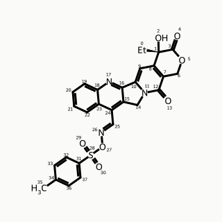 CC[C@@]1(O)C(=O)OCc2c1cc1n(c2=O)Cc2c-1nc1ccccc1c2C=NOS(=O)(=O)c1ccc(C)cc1